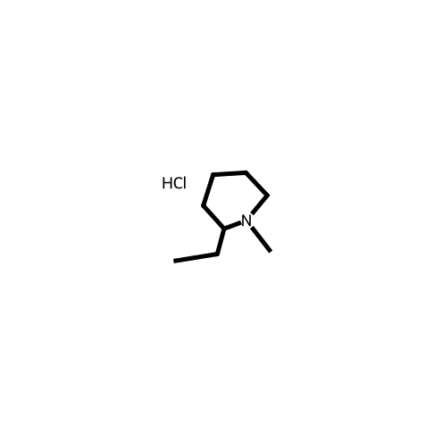 CCC1CCCCN1C.Cl